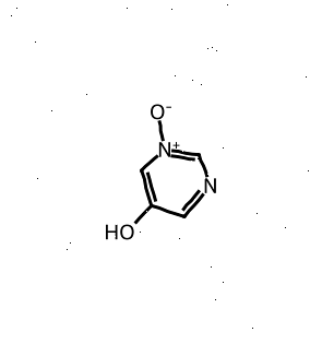 [O-][n+]1cncc(O)c1